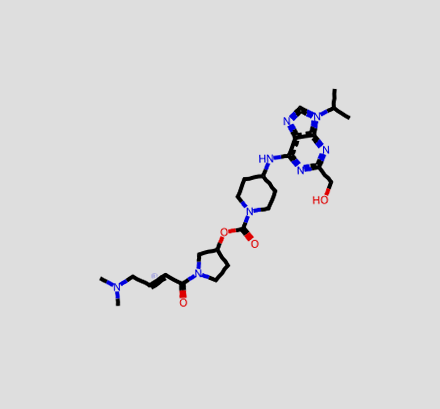 CC(C)n1cnc2c(NC3CCN(C(=O)OC4CCN(C(=O)/C=C/CN(C)C)C4)CC3)nc(CO)nc21